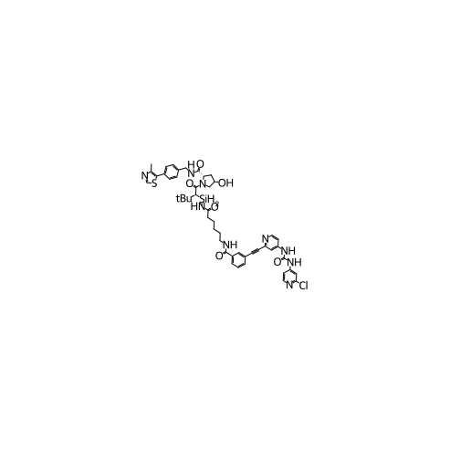 Cc1ncsc1-c1ccc(CNC(=O)[C@@H]2C[C@@H](O)CN2C(=O)[C@@H]([SiH2]NC(=O)CCCCCNC(=O)c2cccc(C#Cc3cc(NC(=O)Nc4ccnc(Cl)c4)ccn3)c2)C(C)(C)C)cc1